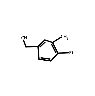 CCc1ccc(CC#N)cc1C